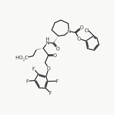 O=C(O)CC[C@H](NC(=O)[C@@H]1CCCCN(C(=O)Oc2ccccc2Cl)C1)C(=O)COc1c(F)c(F)cc(F)c1F